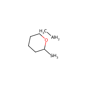 [CH3][AlH2].[SiH3]C1CCCCO1